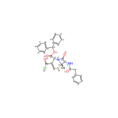 O=C(Cc1ccccc1)NC1C(=O)N2C(C(=O)OC(c3ccccc3)c3ccccc3)C(C(=O)Cl)=CS[C@@H]12